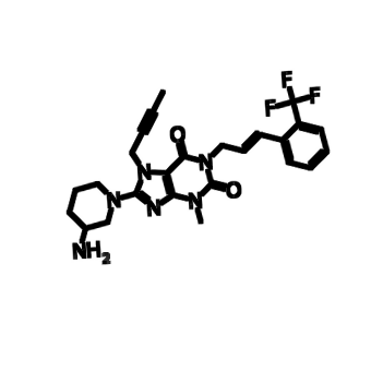 CC#CCn1c(N2CCCC(N)C2)nc2c1c(=O)n(CC=Cc1ccccc1C(F)(F)F)c(=O)n2C